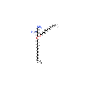 CCCCCCCCCCCCCCCOC(CCC(N)CCN)OCCCCCCCCCCCC